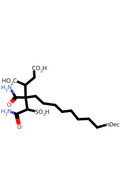 CCCCCCCCCCCCCCCCCCC(C(N)=O)(C(CC(=O)O)C(=O)O)C(C(N)=O)S(=O)(=O)O